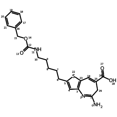 NC1=Nc2cc(CCCCCNC(=O)OCc3ccccc3)sc2C=C(C(=O)O)C1